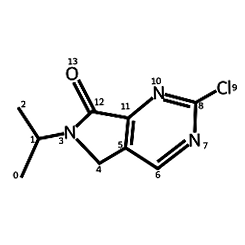 CC(C)N1Cc2cnc(Cl)nc2C1=O